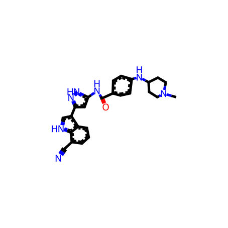 CN1CCC(Nc2ccc(C(=O)Nc3cc(-c4c[nH]c5c(C#N)cccc45)n[nH]3)cc2)CC1